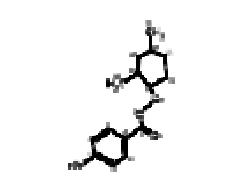 CCCc1ccc(C(=O)OO[C]2CCC(C)CC2C)cc1